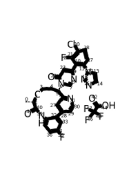 C[C@@H]1CCC[C@H](n2cnc(-c3c(-n4ccnn4)ccc(Cl)c3F)cc2=O)c2cc(ccn2)-c2cc(F)ccc2NC1=O.O=C(O)C(F)(F)F